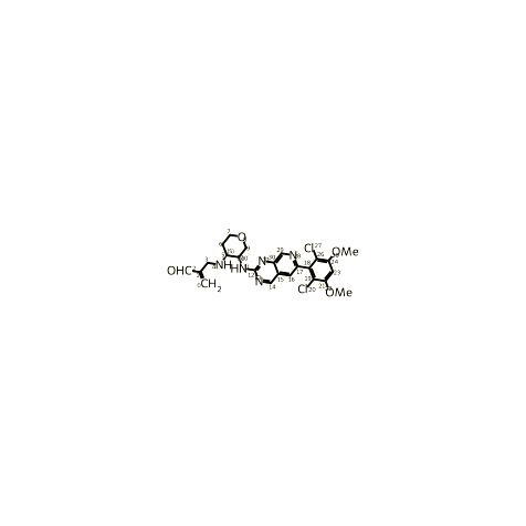 C=C(C=O)CN[C@H]1CCOC[C@H]1Nc1ncc2cc(-c3c(Cl)c(OC)cc(OC)c3Cl)ncc2n1